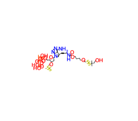 CS(=S)CO[C@H]1CC(n2cc(C#CCNC(=O)OCCCCOCSSC(C)(C)CCO)c3c(N)ncnc32)O[C@@H]1COP(=O)(O)O[PH](=O)OP(=O)(O)O